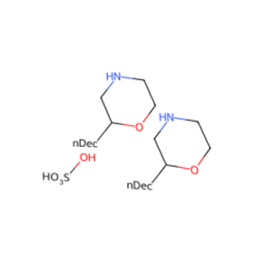 CCCCCCCCCCC1CNCCO1.CCCCCCCCCCC1CNCCO1.O=S(=O)(O)O